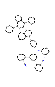 N#Cc1ccccc1-c1cc(-c2ccccc2C#N)cc(N(c2ccccc2)c2ccc(-c3ccc4c5c(cccc35)-c3c-4c(-c4ccccc4)c4ccccc4c3-c3ccccc3)cc2)c1